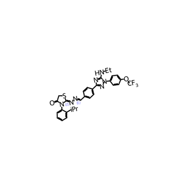 CCNc1nc(-c2ccc(/C=N/N=C3\SCC(=O)N3c3ccccc3C(C)C)cc2)nn1-c1ccc(OC(F)(F)F)cc1